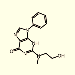 CN(CCO)c1nc(=O)c2ncn(-c3ccccc3)c2[nH]1